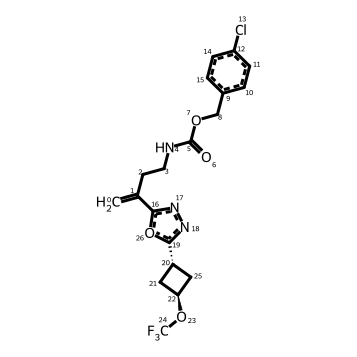 C=C(CCNC(=O)OCc1ccc(Cl)cc1)c1nnc([C@H]2C[C@H](OC(F)(F)F)C2)o1